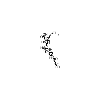 CCOCCNC(=O)[C@H](CCC(=O)O)NC(=O)CC[C@H](NC(=O)[C@H]1CC[C@H](CNC(=O)CCCC(=O)O)CC1)C(=O)O